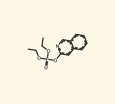 CCOP(=O)(OCC)Oc1cc2ccccc2cn1